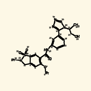 CC(C)Oc1cc2c(cc1C(=O)Nc1cccc(-c3nnnn3C(C)CO)n1)S(=O)(=O)N(C(C)C)C2